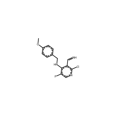 COc1ccc(CNc2c(F)cnc(Cl)c2C=N)cc1